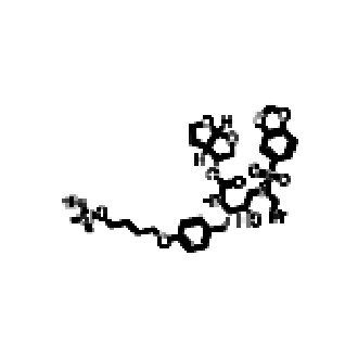 CC(C)CN(C[C@H](O)[C@H](Cc1ccc(OCCCCO[Si](C)(C)C(C)(C)C)cc1)NC(=O)O[C@H]1CO[C@H]2OCC[C@H]21)S(=O)(=O)c1ccc2c(c1)OCO2